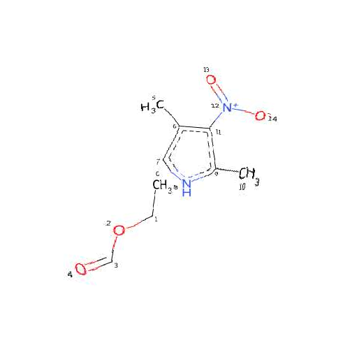 CCOC=O.Cc1c[nH]c(C)c1[N+](=O)[O-]